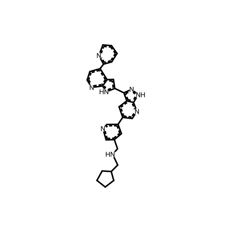 c1ccc(-c2ccnc3[nH]c(-c4n[nH]c5ncc(-c6cncc(CNCC7CCCC7)c6)cc45)cc23)nc1